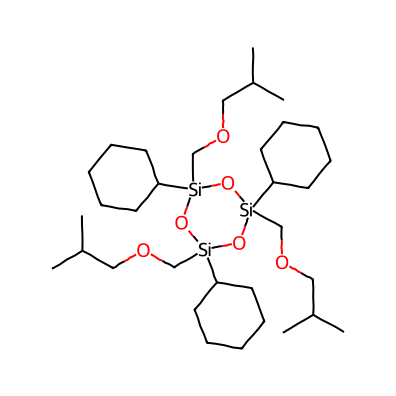 CC(C)COC[Si]1(C2CCCCC2)O[Si](COCC(C)C)(C2CCCCC2)O[Si](COCC(C)C)(C2CCCCC2)O1